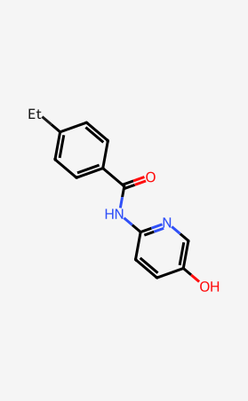 CCc1ccc(C(=O)Nc2ccc(O)cn2)cc1